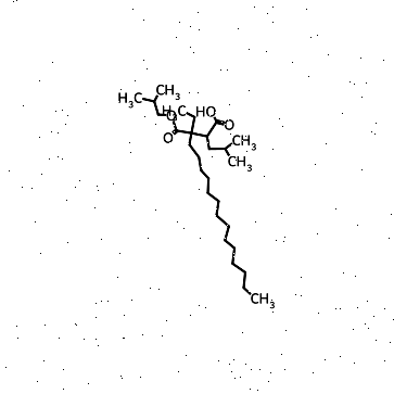 CCCCCCCCCCCCCCC(CC)(C(=O)OCC(C)C)C(CC(C)C)C(=O)O